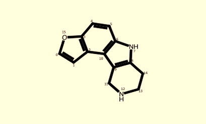 c1cc2c(ccc3[nH]c4c(c32)CNCC4)o1